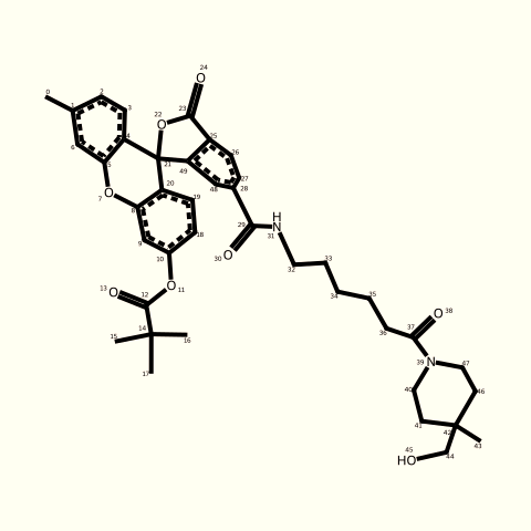 Cc1ccc2c(c1)Oc1cc(OC(=O)C(C)(C)C)ccc1C21OC(=O)c2ccc(C(=O)NCCCCCC(=O)N3CCC(C)(CO)CC3)cc21